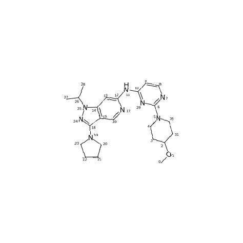 COC1CCN(c2nccc(Nc3cc4c(cn3)c(N3CCCC3)nn4C(C)C)n2)CC1